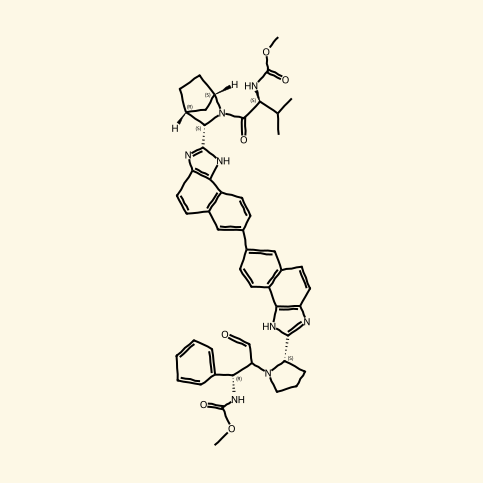 COC(=O)N[C@H](C(=O)N1[C@H]2CC[C@H](C2)[C@H]1c1nc2ccc3cc(-c4ccc5c(ccc6nc([C@@H]7CCCN7C(C=O)[C@H](NC(=O)OC)c7ccccc7)[nH]c65)c4)ccc3c2[nH]1)C(C)C